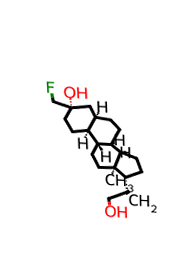 C=C(CO)[C@H]1CC[C@H]2[C@@H]3CC[C@@H]4C[C@](O)(CF)CC[C@@H]4[C@H]3CC[C@]12C